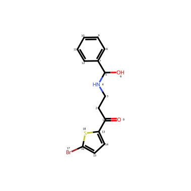 O=C(CCNC(O)c1ccccc1)c1ccc(Br)s1